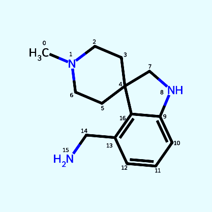 CN1CCC2(CC1)CNc1cccc(CN)c12